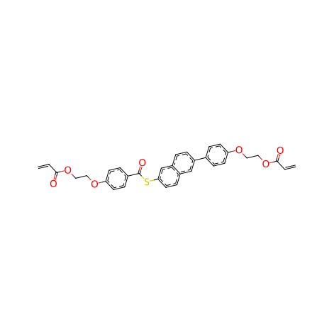 C=CC(=O)OCCOc1ccc(C(=O)Sc2ccc3cc(-c4ccc(OCCOC(=O)C=C)cc4)ccc3c2)cc1